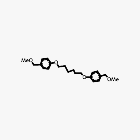 COCc1ccc(OCCCCCCOc2ccc(COC)cc2)cc1